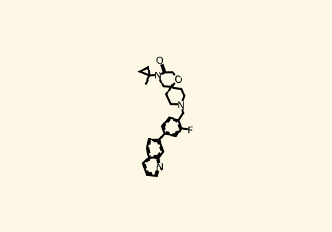 CC1(N2CC3(CCN(Cc4ccc(-c5ccc6cccnc6c5)cc4F)CC3)OCC2=O)CC1